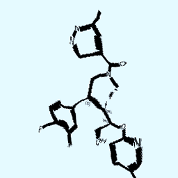 Cc1cc(C(=O)N2C[C@H]([C@H](CO)Oc3ccc(Cl)cn3)[C@@H](c3ccc(F)c(F)c3)C2)cnn1